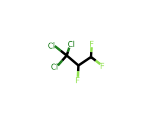 F[C](F)C(F)C(Cl)(Cl)Cl